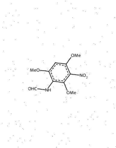 COc1cc(OC)c([N+](=O)[O-])c(OC)c1NC=O